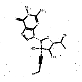 C[C@H](O)[C@H]1O[C@@H](n2cnc3c(=O)n(N)c(N)nc32)[C@@](O)(C#CCF)C1O